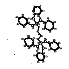 c1ccc(O[Si](CCCC[Si](Oc2ccccc2)(Oc2ccccc2)Oc2ccccc2)(Oc2ccccc2)Oc2ccccc2)cc1